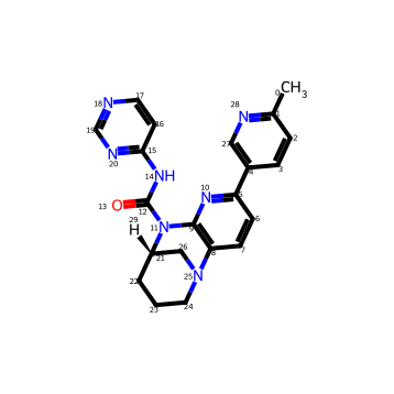 Cc1ccc(-c2ccc3c(n2)N(C(=O)Nc2ccncn2)[C@H]2CCCN3C2)cn1